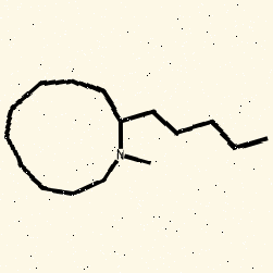 CCCCCC1CCCCCCCCCN1C